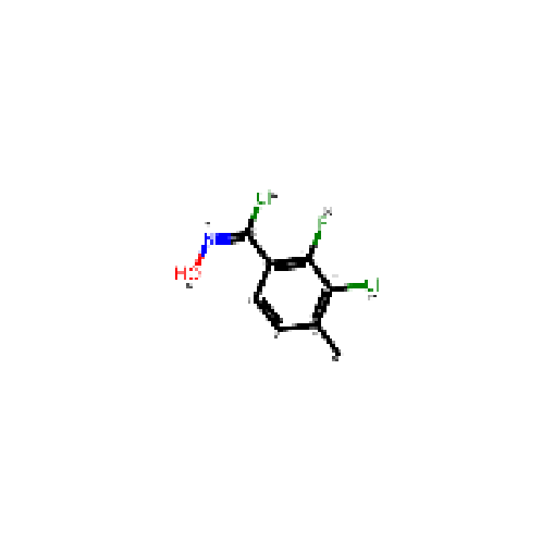 Cc1ccc(/C(Cl)=N\O)c(F)c1Cl